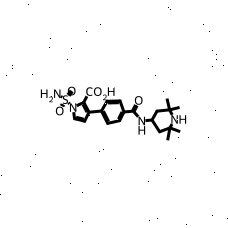 CC1(C)CC(NC(=O)c2ccc(-c3ccn(S(N)(=O)=O)c3C(=O)O)cc2)CC(C)(C)N1